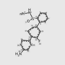 CCCN[S+]([O-])c1ccccc1-c1ccc(-c2cnc(N)cn2)c(F)c1